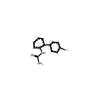 N=C(N)Nc1c[c]ccc1-c1ccc(F)cc1